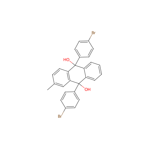 Cc1ccc2c(c1)C(O)(c1ccc(Br)cc1)c1ccccc1C2(O)c1ccc(Br)cc1